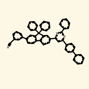 N#Cc1cccc(-c2ccc3c(c2)C(c2ccccc2)(c2ccccc2)c2cc(-c4cc(-c5ccc(-c6ccccc6)cc5)nc(-c5ccccc5)n4)ccc2-3)c1